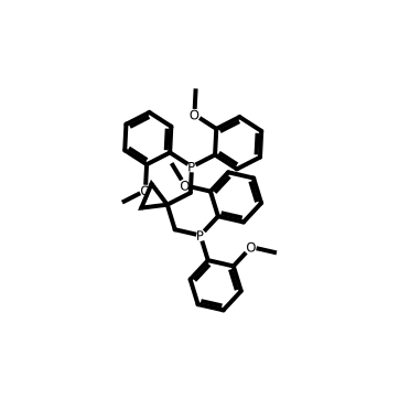 COc1ccccc1P(CC1(CP(c2ccccc2OC)c2ccccc2OC)CC1)c1ccccc1OC